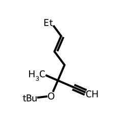 C#CC(C)(CC=CCC)OC(C)(C)C